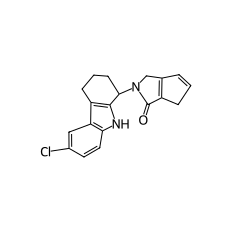 O=C1C2=C(C=CC2)CN1C1CCCc2c1[nH]c1ccc(Cl)cc21